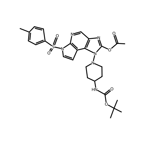 CC(=O)Oc1nc2cnc3c(ccn3S(=O)(=O)c3ccc(C)cc3)c2n1N1CCC(NC(=O)OC(C)(C)C)CC1